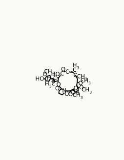 COC1CC(C=C(C)C2OC(=O)C3CCCCN3C(=O)C(=O)C3(O)OC(C(OC)CC(C)CC(C)=CCC(=O)CC(O)C2C)C(OC)CC3C)CCC1O